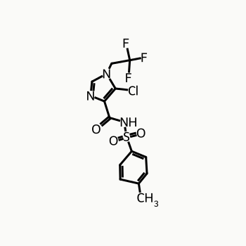 Cc1ccc(S(=O)(=O)NC(=O)c2ncn(CC(F)(F)F)c2Cl)cc1